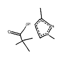 CC(C)(C)C(=O)O.Cc1ccn(C)n1